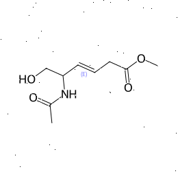 COC(=O)C/C=C/C(CO)NC(C)=O